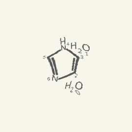 O.O.c1c[nH]cn1